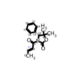 C/C=C/C(=O)N1C(=O)OC(C)(C)[C@H]1c1ccccc1